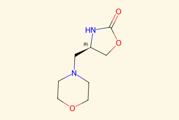 O=C1N[C@H](CN2CCOCC2)CO1